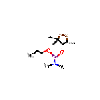 CC(C)N(C(C)C)P(OCCC#N)O[C@H]1[C@@H](C)SSC1(C)C